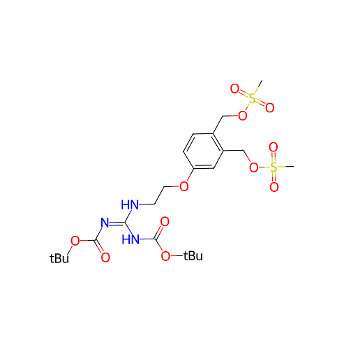 CC(C)(C)OC(=O)/N=C(/NCCOc1ccc(COS(C)(=O)=O)c(COS(C)(=O)=O)c1)NC(=O)OC(C)(C)C